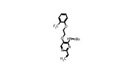 C=Cc1ncc(OCCOc2ccccc2C(F)(F)F)c(NCCCC)n1